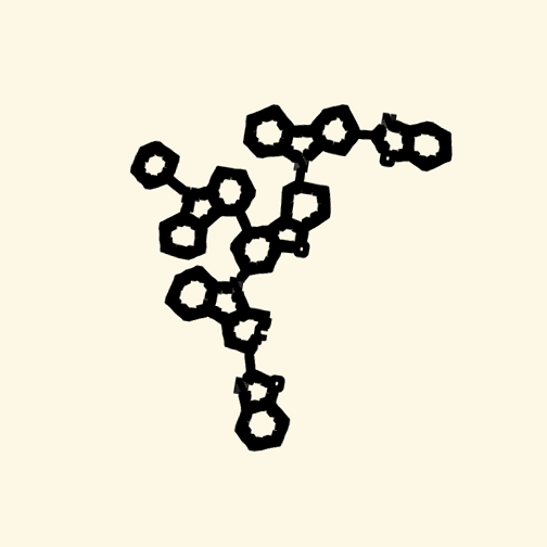 c1ccc(-n2c3ccccc3c3c(-c4cc(-n5c6ccccc6c6cc(-c7nc8ccccc8o7)ccc65)cc5oc6ccc(-n7c8ccccc8c8ccc(-c9nc%10ccccc%10o9)cc87)cc6c45)cccc32)cc1